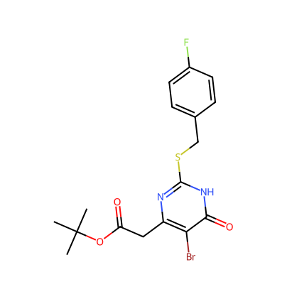 CC(C)(C)OC(=O)Cc1nc(SCc2ccc(F)cc2)[nH]c(=O)c1Br